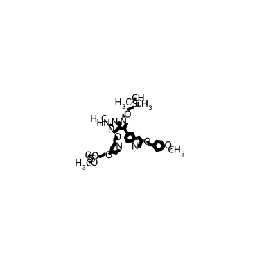 CNc1nc(OCc2cc(OCCOS(C)(=O)=O)ccn2)c2c(-c3ccc4ncc(OCc5ccc(OC)cc5)cc4c3)cn(COCC[Si](C)(C)C)c2n1